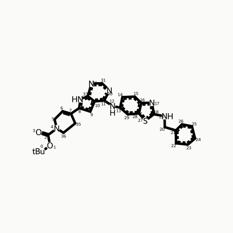 CC(C)(C)OC(=O)N1CC=C(c2cc3c(Nc4ccc5nc(NCc6ccccc6)sc5c4)ncnc3[nH]2)CC1